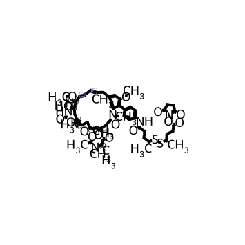 COc1cc2cc(c1-c1ccc(NC(=O)CCC(C)SSC(C)CCC(=O)ON3C(=O)CCC3=O)cc1)N(C)C(=O)C[C@H](OC(=O)[C@H](C)N(C)C(C)=O)[C@@]1(C)CC(C)(O1)[C@@H]1C[C@@](O)(NC(=O)O1)[C@H](OC)/C=C/C=C(\C)C2